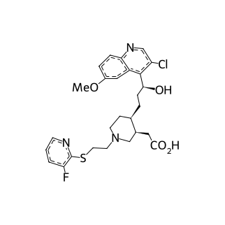 COc1ccc2ncc(Cl)c([C@@H](O)CC[C@@H]3CCN(CCSc4ncccc4F)C[C@@H]3CC(=O)O)c2c1